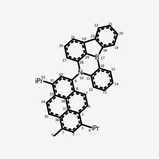 Cc1cc(C(C)C)c2ccc3c(N4c5ccccc5B5c6ccccc6-c6cccc4c65)cc(C(C)C)c4ccc1c2c43